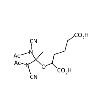 CC(=O)N(C#N)C(C)(OC(CCCC(=O)O)C(=O)O)N(C#N)C(C)=O